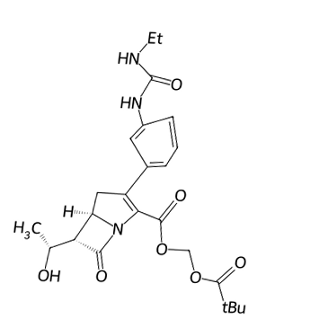 CCNC(=O)Nc1cccc(C2=C(C(=O)OCOC(=O)C(C)(C)C)N3C(=O)[C@H]([C@@H](C)O)[C@H]3C2)c1